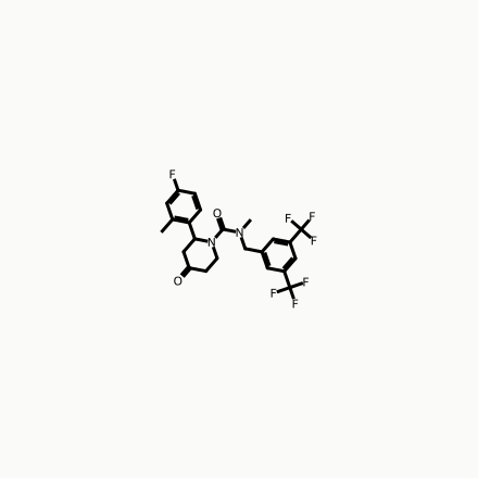 Cc1cc(F)ccc1C1CC(=O)CCN1C(=O)N(C)Cc1cc(C(F)(F)F)cc(C(F)(F)F)c1